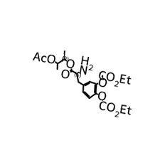 CCOC(=O)Oc1ccc(C[C@H](N)C(=O)O[C@H](C)C(C)OC(C)=O)cc1OC(=O)OCC